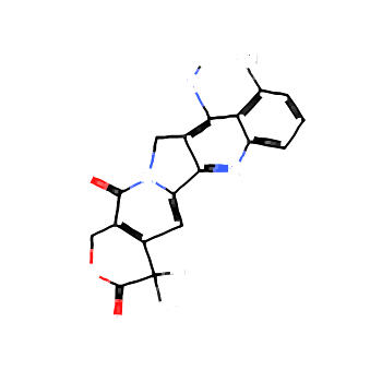 CCNc1c2c(nc3cccc([N+](=O)[O-])c13)-c1cc3c(c(=O)n1C2)COC(=O)C3(CC)OC(C)=O